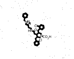 O=C(CC1C(Cc2ccccc2Cl)CN(C(=O)O)CC1Cc1ccccc1Cl)NCCc1cn(Cc2ccccc2)nn1